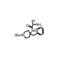 CC(C)C(N)C(=O)NC1(Cc2ccccn2)CCN(C(C)(C)C)CC1